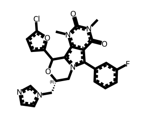 Cn1c(=O)c2c(-c3cccc(F)c3)n3c(c2n(C)c1=O)C(c1ccc(Cl)o1)O[C@@H](Cn1ccnc1)C3